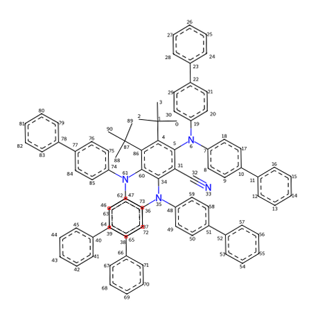 CC(C)(C)c1c(N(c2ccc(-c3ccccc3)cc2)c2ccc(-c3ccccc3)cc2)c(C#N)c(N(c2ccc(-c3ccccc3)cc2)c2ccc(-c3ccccc3)cc2)c(N(c2ccc(-c3ccccc3)cc2)c2ccc(-c3ccccc3)cc2)c1C(C)(C)C